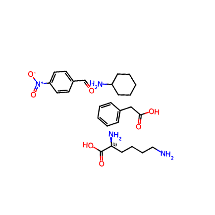 NC1CCCCC1.NCCCC[C@H](N)C(=O)O.O=C(O)Cc1ccccc1.O=Cc1ccc([N+](=O)[O-])cc1